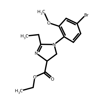 CCOC(=O)C1CN(c2ccc(Br)cc2OC)C(CC)=N1